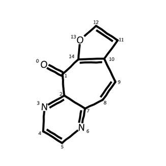 O=c1c2nccnc2ccc2ccoc12